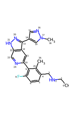 CCNCc1ccc(F)c(-c2cc3c(-c4cnn(C)c4)n[nH]c3cn2)c1C